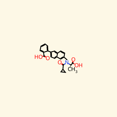 C[C@@H](C(=O)O)N(Cc1ccc2cc(-c3ccccc3C(=O)O)ccc2c1)C(=O)C1CC1